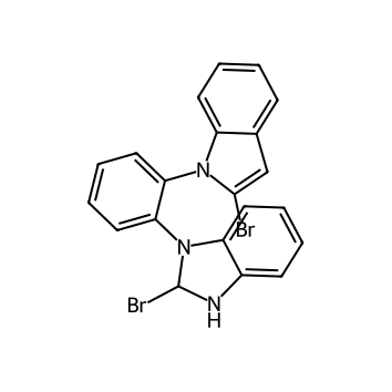 Brc1cc2ccccc2n1-c1ccccc1N1c2ccccc2NC1Br